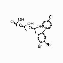 CC(=O)O.CC(=O)O.CC(=O)O.Clc1ccc(-c2ccc(Br)[c]([Pb])c2)cc1